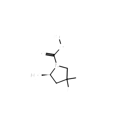 [CH2][C@@H]1CC(F)(F)CN1C(=O)OC(C)(C)C